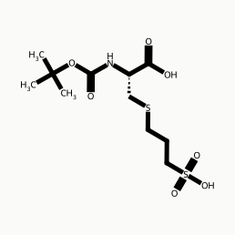 CC(C)(C)OC(=O)N[C@@H](CSCCCS(=O)(=O)O)C(=O)O